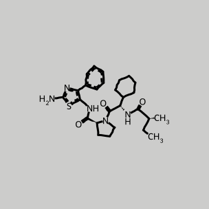 CC[C@@H](C)C(=O)N[C@H](C(=O)N1CCC[C@H]1C(=O)Nc1sc(N)nc1-c1ccccc1)C1CCCCC1